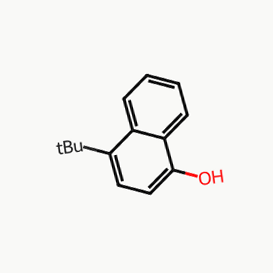 CC(C)(C)c1ccc(O)c2ccccc12